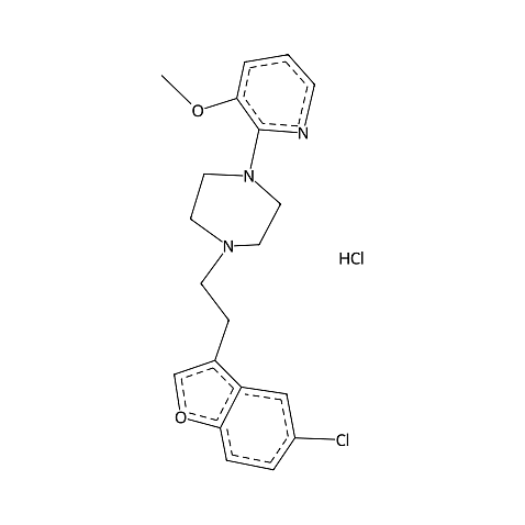 COc1cccnc1N1CCN(CCc2coc3ccc(Cl)cc23)CC1.Cl